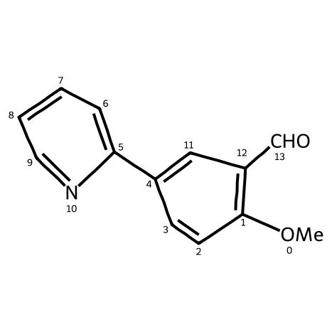 COc1ccc(-c2ccccn2)cc1C=O